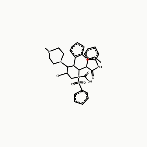 CCOc1ncccc1C1C(N2CCN(C)CC2)C(Cl)C[N+](C(=O)O)(S(=O)(=O)c2ccccc2)C1C1C(=O)Nc2ccccc21